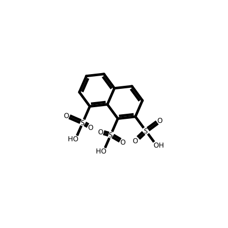 O=S(=O)(O)c1ccc2cccc(S(=O)(=O)O)c2c1S(=O)(=O)O